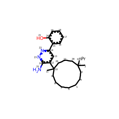 CCCC1(C)CCCCCCCC(C)(c2cc(-c3ccccc3O)nnc2N)CCC1